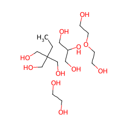 CCC(CO)(CO)CO.OCC(O)CO.OCCO.OCCOCCO